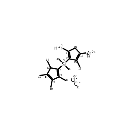 CCCC1=C([Si](C)(C)C2=C(C)C(C)=C(C)C2C)C(C)=[C]([Zr+2])C1.[Cl-].[Cl-]